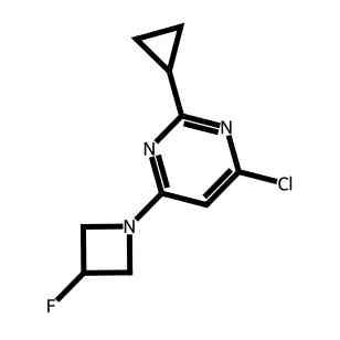 FC1CN(c2cc(Cl)nc(C3CC3)n2)C1